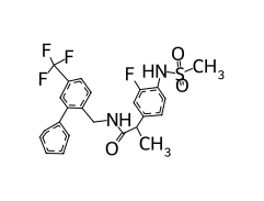 CC(C(=O)NCc1ccc(C(F)(F)F)cc1-c1ccccc1)c1ccc(NS(C)(=O)=O)c(F)c1